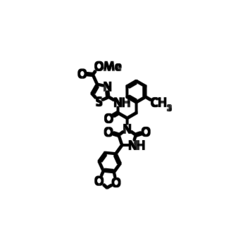 COC(=O)c1csc(NC(=O)C(Cc2ccccc2C)N2C(=O)NC(c3ccc4c(c3)OCO4)C2=O)n1